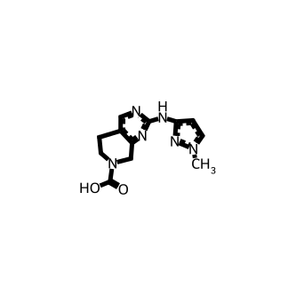 Cn1ccc(Nc2ncc3c(n2)CN(C(=O)O)CC3)n1